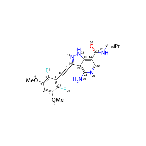 COc1cc(OC)c(F)c(C#Cc2n[nH]c3c(C(=O)NCC(C)C)cnc(N)c23)c1F